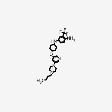 CCCCN1CCN(c2cncc(O[C@H]3CC[C@H](Nc4ccc(N)c(C(F)(F)F)c4)CC3)c2)CC1